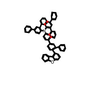 c1ccc(-c2ccc(N(c3ccc(-c4ccc(-c5cccc6oc7ccccc7c56)c(-c5ccccc5)c4)cc3)c3ccc(-c4ccccc4)cc3-c3ccccc3)c(-c3ccccc3)c2)cc1